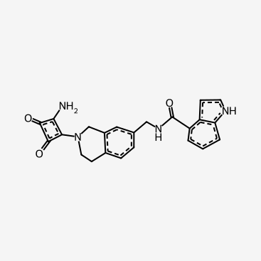 Nc1c(N2CCc3ccc(CNC(=O)c4cccc5[nH]ccc45)cc3C2)c(=O)c1=O